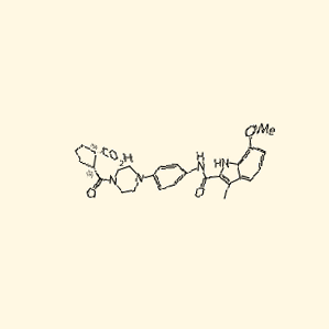 COc1cccc2c(C)c(C(=O)Nc3ccc(N4CCN(C(=O)[C@H]5CCC[C@@H]5C(=O)O)CC4)cc3)[nH]c12